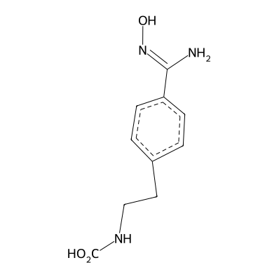 NC(=NO)c1ccc(CCNC(=O)O)cc1